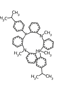 CC(C)c1ccc(P2c3ccccc3N(C)c3ccccc3[PH](C)(c3ccc(C(C)C)cc3)c3ccccc3N(C)c3ccccc32)cc1